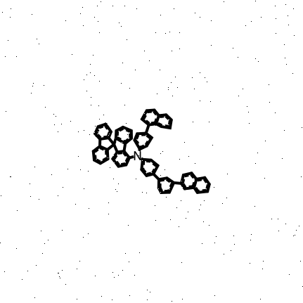 c1cc(-c2ccc(N(c3ccc(-c4cccc5ccccc45)cc3)c3cccc4c3-c3ccccc3C43c4ccccc4-c4ccccc43)cc2)cc(-c2ccc3ccccc3c2)c1